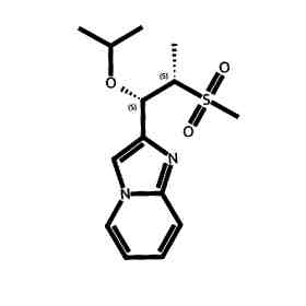 CC(C)O[C@@H](c1cn2ccccc2n1)[C@H](C)S(C)(=O)=O